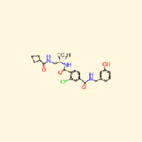 O=C(NCc1cccc(O)c1)c1ccc(C(=O)N[C@@H](CNC(=O)C2CCC2)C(=O)O)c(Cl)c1